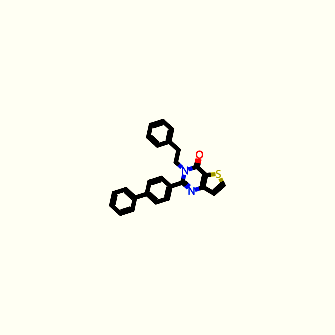 O=c1c2sccc2nc(-c2ccc(-c3ccccc3)cc2)n1CCc1ccccc1